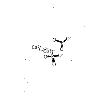 O=P([O-])([O-])[O-].[Ca+2].[Ca+2].[Ca+2].[O-]P([O-])[O-]